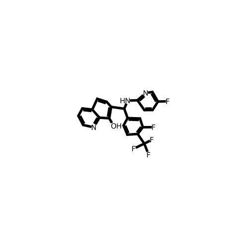 Oc1c(C(Nc2ccc(F)cn2)c2ccc(C(F)(F)F)c(F)c2)ccc2cccnc12